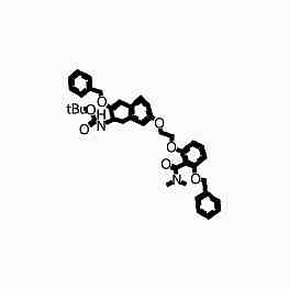 CN(C)C(=O)c1c(OCCOc2ccc3c(c2)CC(NC(=O)OC(C)(C)C)C(OCc2ccccc2)=C3)cccc1OCc1ccccc1